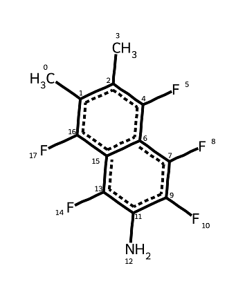 Cc1c(C)c(F)c2c(F)c(F)c(N)c(F)c2c1F